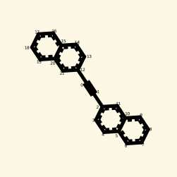 C(#Cc1ccc2ccccc2c1)c1c[c]c2ccccc2c1